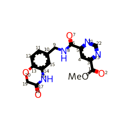 COC(=O)c1cc(C(=O)NCc2ccc3c(c2)NC(=O)CO3)ncn1